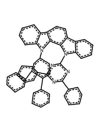 c1ccc(-c2nc(-c3ccccc3)nc(-n3c4ccccc4c4ccc5c6ccccc6n(-c6ccc(-c7ccccc7)c(-c7ccccc7)c6)c5c43)n2)cc1